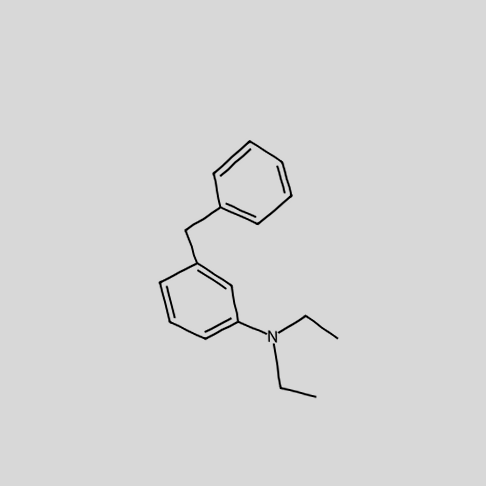 CCN(CC)c1cccc(Cc2ccccc2)c1